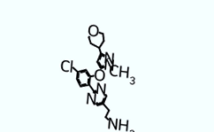 Cn1nc(C2CCOCC2)cc1Oc1cc(Cl)ccc1-c1ncc(CCN)cn1